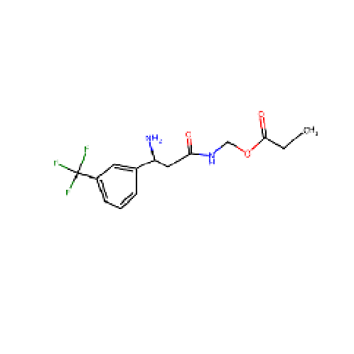 CCC(=O)OCNC(=O)CC(N)c1cccc(C(F)(F)F)c1